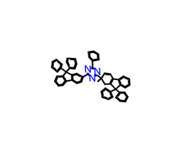 CC1(c2nc(-c3ccccc3)nc(-c3ccc4c(c3)C(c3ccccc3)(c3ccccc3)c3ccccc3-4)n2)C=CC2=C(C1)C(c1ccccc1)(c1ccccc1)c1ccccc12